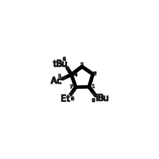 CCC(C)C1CCC(C(C)=O)(C(C)(C)C)C1CC